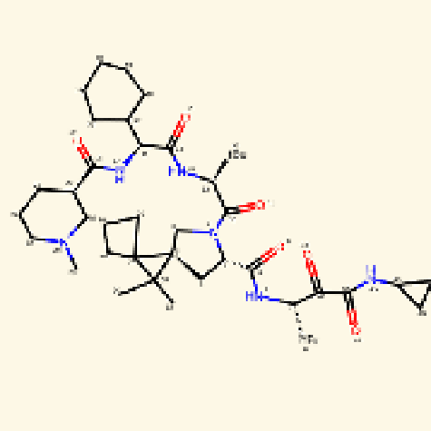 CCC[C@H](NC(=O)[C@@H]1C[C@@]2(CN1C(=O)[C@@H](NC(=O)[C@@H](NC(=O)[C@@H]1CCCN(C)C1)C1CCCCC1)C(C)(C)C)C(C)(C)C21CCC1)C(=O)C(=O)NC1CC1